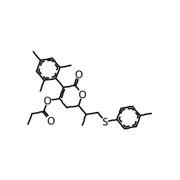 CCC(=O)OC1=C(c2c(C)cc(C)cc2C)C(=O)OC(C(C)CSc2ccc(C)cc2)C1